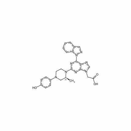 C[C@H]1CN(c2ccc(O)cc2)CCN1c1nc(-n2ncc3ccccc32)c2ncn(CC(=O)O)c2n1